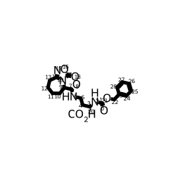 O=C(N[C@@H](CCNC(=O)C1CCCCc2noc(=O)n21)C(=O)O)OCc1ccccc1